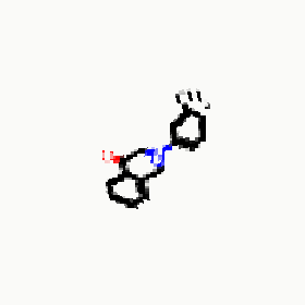 Cc1cccc(N2CC(=O)c3ccccc3C2)c1